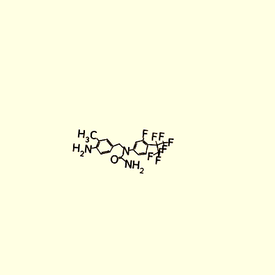 Cc1cc(CN(C(N)=O)c2ccc(C(F)(C(F)(F)F)C(F)(F)F)c(F)c2)ccc1N